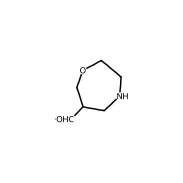 O=[C]C1CNCCOC1